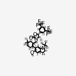 COc1cc2c(cc1C1=C(CN3C(=O)O[C@H](c4cc(C(F)(F)F)cc(C(F)(F)F)c4)[C@@H]3C)CC(C)(C)CC1)N(C(C)(C)C)CC2